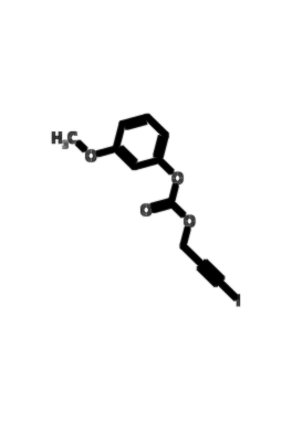 COc1cccc(OC(=O)OCC#CI)c1